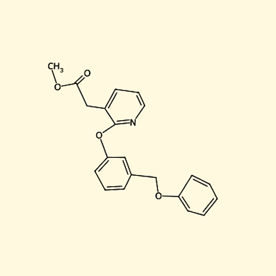 COC(=O)Cc1cccnc1Oc1cccc(COc2ccccc2)c1